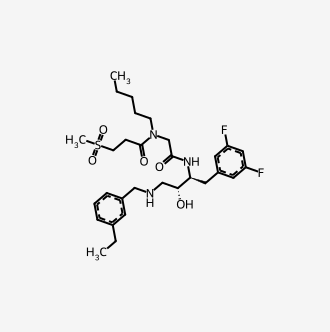 CCCCCN(CC(=O)N[C@@H](Cc1cc(F)cc(F)c1)[C@H](O)CNCc1cccc(CC)c1)C(=O)CCS(C)(=O)=O